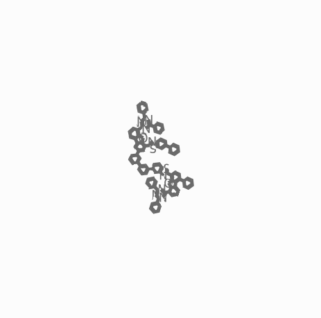 c1ccc(-c2ccc3nc(-c4cc(-c5cccc(-c6cccc(-c7ccc8sc(-c9ccc(-c%10ccccc%10)c%10c9oc9c(-c%11nc(-c%12ccccc%12)nc(-c%12ccccc%12)n%11)cccc9%10)nc8c7)c6)c5)cc5c4oc4c(-c6nc(-c7ccccc7)nc(-c7ccccc7)n6)cccc45)sc3c2)cc1